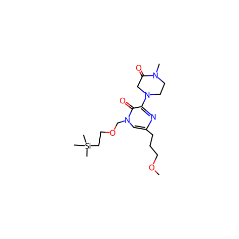 COCCCc1cn(COCC[Si](C)(C)C)c(=O)c(N2CCN(C)C(=O)C2)n1